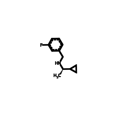 C[C@H](NCc1cccc(F)c1)C1CC1